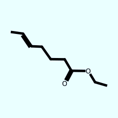 CC=CCCCC(=O)OCC